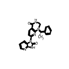 C[C@@H](c1ccccc1)N1CCNC(=O)c2ccc(-n3c(=O)[nH]c4ncccc43)nc21